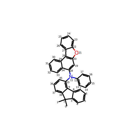 CC1(C)c2ccccc2-c2c(N(c3ccccc3)c3cc4oc5ccccc5c4c4ccccc34)cccc21